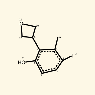 Cc1c(I)ccc(O)c1C1COC1